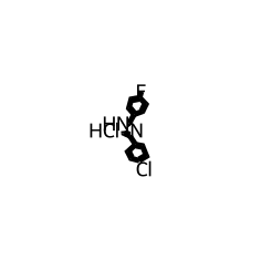 Cl.Fc1ccc(-c2nc(-c3ccc(Cl)cc3)c[nH]2)cc1